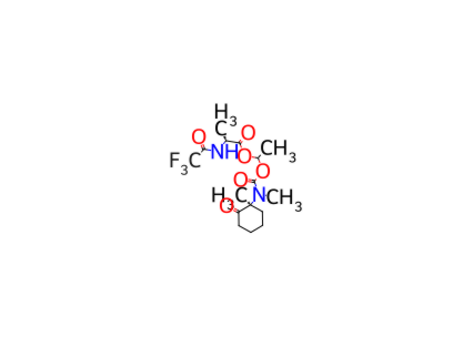 CC(OC(=O)[C@H](C)NC(=O)C(F)(F)F)OC(=O)N(C)[C@]1(C)CCCCC1=O